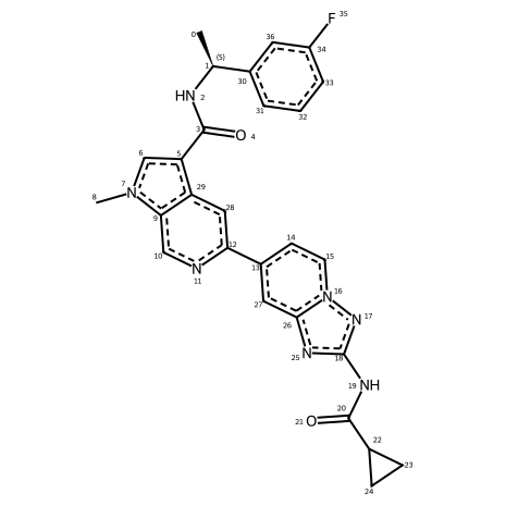 C[C@H](NC(=O)c1cn(C)c2cnc(-c3ccn4nc(NC(=O)C5CC5)nc4c3)cc12)c1cccc(F)c1